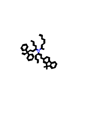 C=C/C=C\C(=C/Cc1ccc2c(c1)C(C)(C)c1ccccc1-2)N(/C(C)=C/C=C\CC=C)/C(=C/CC(C=C)(c1ccccc1)c1ccccc1)CC=CC